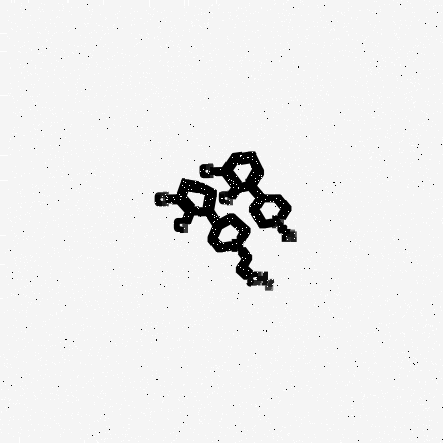 C=CCN1CCC(c2cccc(Cl)c2Cl)CC1.CCN1CCC(c2cccc(Cl)c2Cl)CC1